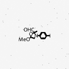 COC1CN(c2ccc(I)cc2)C(C)(C=O)O1